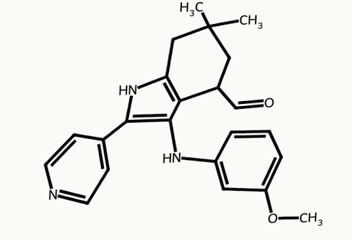 COc1cccc(Nc2c(-c3ccncc3)[nH]c3c2C(C=O)CC(C)(C)C3)c1